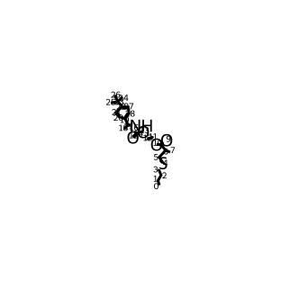 CCCCSCC(C)C(=O)OCCOC(=O)NC(C)c1ccc(C(C)(C)C)cc1